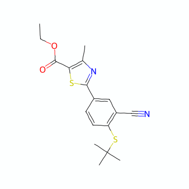 CCOC(=O)c1sc(-c2ccc(SC(C)(C)C)c(C#N)c2)nc1C